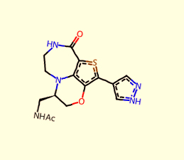 CC(=O)NC[C@@H]1COc2c(-c3cn[nH]c3)sc3c2N1CCNC3=O